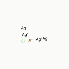 [Ag+].[Ag+].[Ag].[Ag].[Br-].[Cl-]